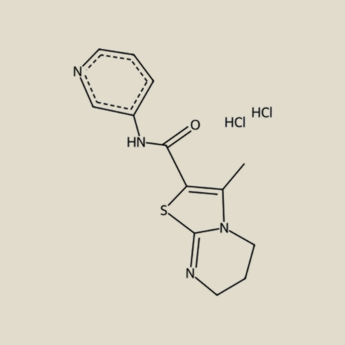 CC1=C(C(=O)Nc2cccnc2)SC2=NCCCN21.Cl.Cl